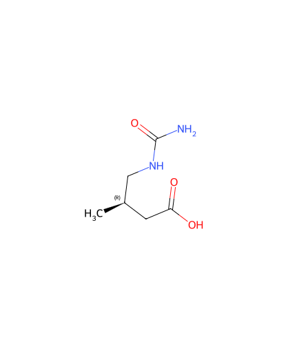 C[C@@H](CNC(N)=O)CC(=O)O